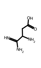 N=C(N)C(N)CC(=O)O